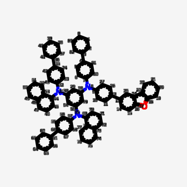 c1ccc(-c2ccc(N(c3ccc(-c4ccc5oc6ccccc6c5c4)cc3)c3cc(N(c4ccc(-c5ccccc5)cc4)c4cccc5ccccc45)cc(N(c4ccc(-c5ccccc5)cc4)c4cccc5ccccc45)c3)cc2)cc1